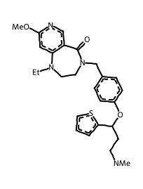 CCN1CCN(Cc2ccc(OC(CCNC)c3cccs3)cc2)C(=O)c2cnc(OC)cc21